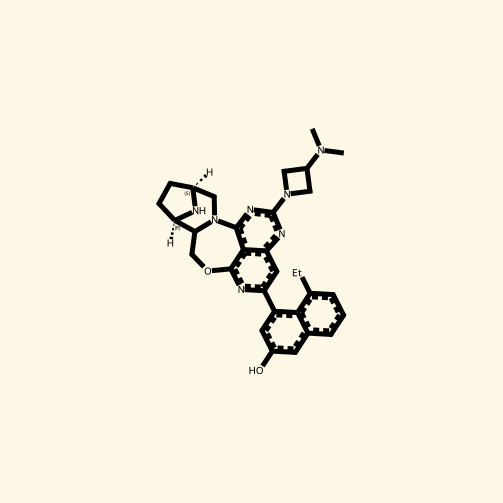 CCc1cccc2cc(O)cc(-c3cc4nc(N5CC(N(C)C)C5)nc5c4c(n3)OCC3[C@H]4CC[C@@H](CN53)N4)c12